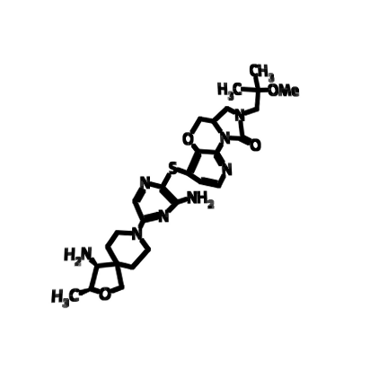 COC(C)(C)CN1CC2COc3c(Sc4ncc(N5CCC6(CC5)CO[C@@H](C)[C@H]6N)nc4N)ccnc3N2C1=O